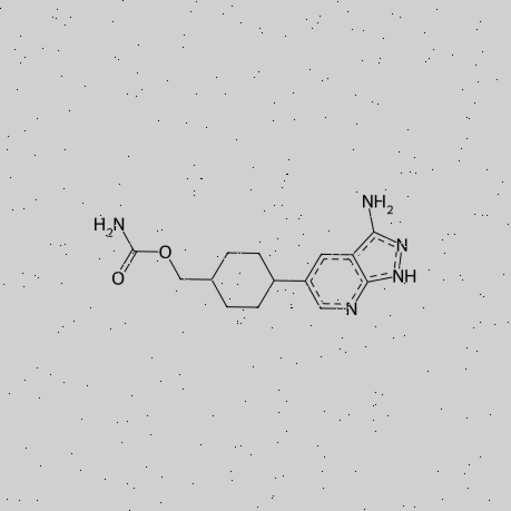 NC(=O)OCC1CCC(c2cnc3[nH]nc(N)c3c2)CC1